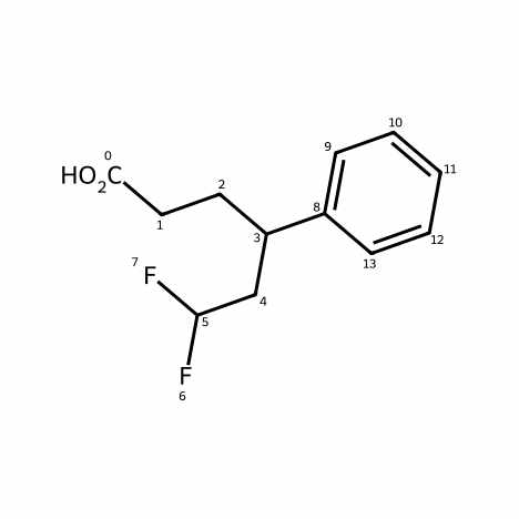 O=C(O)CCC(CC(F)F)c1ccccc1